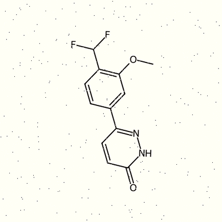 COc1cc(-c2ccc(=O)[nH]n2)ccc1C(F)F